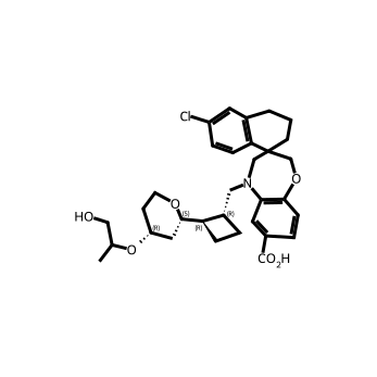 CC(CO)O[C@@H]1CCO[C@H]([C@@H]2CC[C@H]2CN2CC3(CCCc4cc(Cl)ccc43)COc3ccc(C(=O)O)cc32)C1